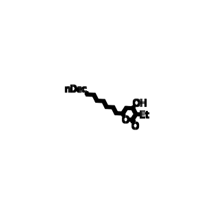 CCCCCCCCCCCCCCCCCC1CC(O)C(CC)C(=O)O1